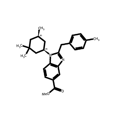 COC(=O)c1ccc2c(c1)nc(Cc1ccc(C)cc1)n2[C@@H]1C[C@H](C)CC(C)(C)C1